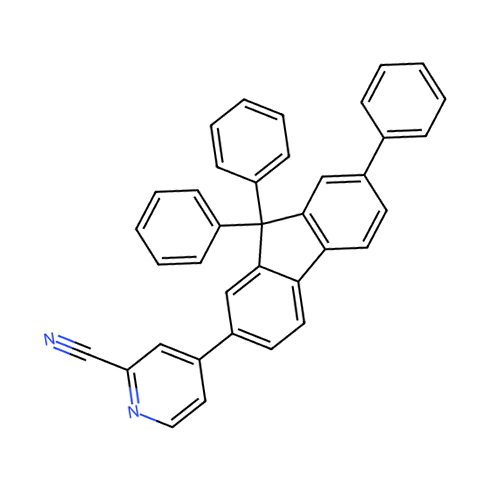 N#Cc1cc(-c2ccc3c(c2)C(c2ccccc2)(c2ccccc2)c2cc(-c4ccccc4)ccc2-3)ccn1